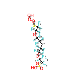 O=S(=O)(O)C(F)(F)C(F)(F)OC(F)(F)C(F)(F)CC(F)(F)C(F)(F)OC(F)(F)C(F)(F)SOOO